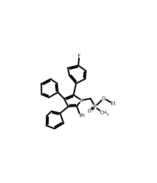 CCOP(C)(=O)Cn1c(-c2ccc(F)cc2)c(-c2ccccc2)c(-c2ccccc2)c1C(C)C